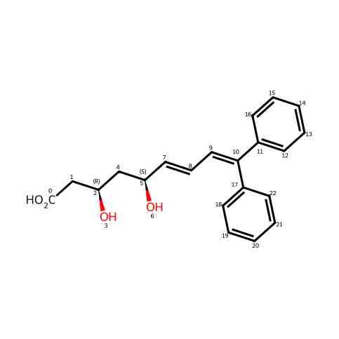 O=C(O)C[C@H](O)C[C@H](O)C=CC=C(c1ccccc1)c1ccccc1